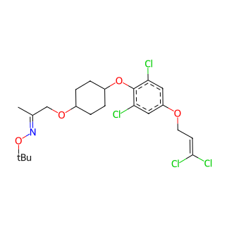 CC(COC1CCC(Oc2c(Cl)cc(OCC=C(Cl)Cl)cc2Cl)CC1)=NOC(C)(C)C